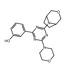 Oc1cccc(-c2nc(N3CCOCC3)nc(N3C4CCC3COC4)n2)c1